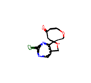 O=C1COCC2(C1)OCc1cnc(Cl)nc12